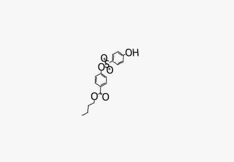 CCCCOC(=O)c1ccc(OS(=O)(=O)c2ccc(O)cc2)cc1